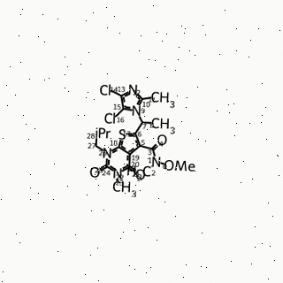 CON(C)C(=O)c1c(C(C)n2c(C)nc(Cl)c2Cl)sc2c1c(=O)n(C)c(=O)n2CC(C)C